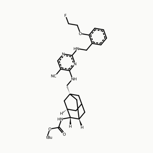 CC(C)(C)OC(=O)N[C@@H]1[C@@H]2CC3C[C@H]1C[C@](CNc1nc(NCc4ccccc4OCCF)ncc1C#N)(C3)C2